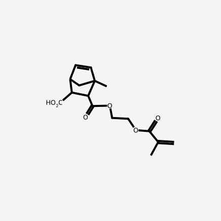 C=C(C)C(=O)OCCOC(=O)C1C(C(=O)O)C2C=CC1(C)C2